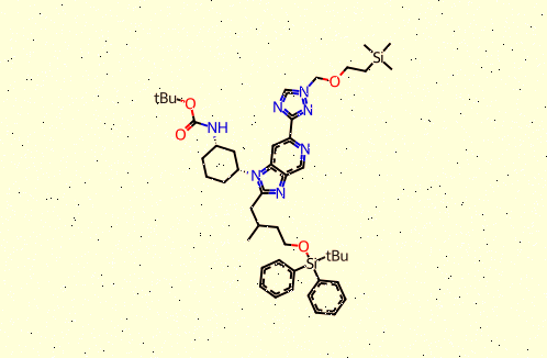 CC(CCO[Si](c1ccccc1)(c1ccccc1)C(C)(C)C)Cc1nc2cnc(-c3ncn(COCC[Si](C)(C)C)n3)cc2n1[C@@H]1CCC[C@H](NC(=O)OC(C)(C)C)C1